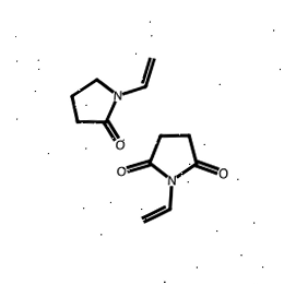 C=CN1C(=O)CCC1=O.C=CN1CCCC1=O